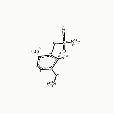 Cl.NCc1cccc(CS(N)(=O)=O)c1F